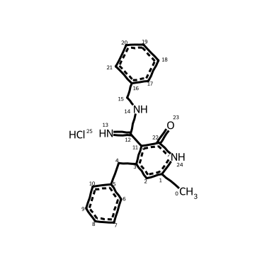 Cc1cc(Cc2ccccc2)c(C(=N)NCc2ccccc2)c(=O)[nH]1.Cl